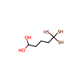 OC(O)CCCC(S)(S)S